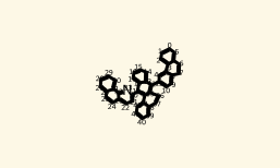 c1ccc2c(c1)ccc1ccc(-c3c4ccccc4c(-c4ccc5ccc6ccccc6c5n4)c4c3ccc3ccccc34)cc12